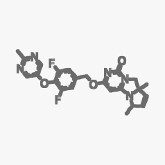 Cc1ncc(Oc2c(F)cc(COc3cc4n(c(=O)n3)CC3(C)C=CC(C)N43)cc2F)cn1